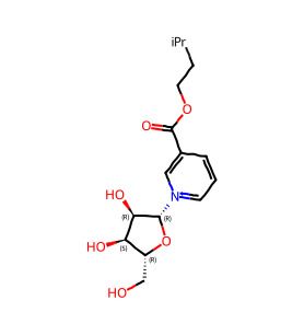 CC(C)CCOC(=O)c1ccc[n+]([C@@H]2O[C@H](CO)[C@@H](O)[C@H]2O)c1